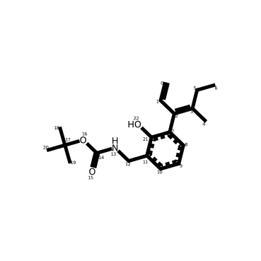 C=C/C(=C(/C)CC)c1cccc(CNC(=O)OC(C)(C)C)c1O